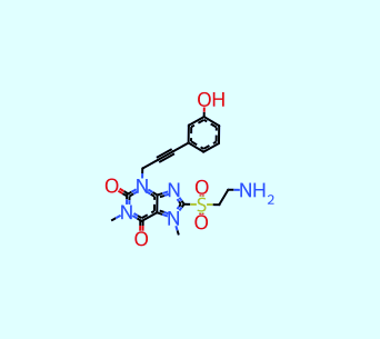 Cn1c(=O)c2c(nc(S(=O)(=O)CCN)n2C)n(CC#Cc2cccc(O)c2)c1=O